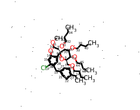 CCCCOC[C@H]1O[C@]2(CC(OC)Oc3cc(Cl)c(Cc4ccc(CC)cc4)cc32)[C@H](OCCCC)[C@@H](OCCCC)[C@@H]1OCCCC